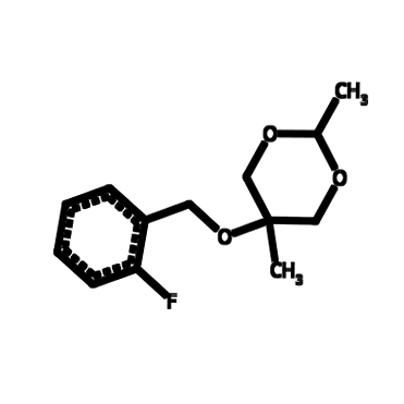 CC1OCC(C)(OCc2ccccc2F)CO1